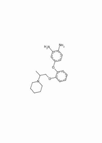 CC(COc1ccccc1Oc1ccc(N)c(N)c1)N1CCCCC1